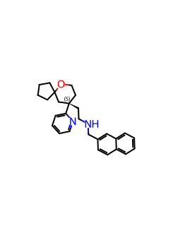 c1ccc([C@@]2(CCNCc3ccc4ccccc4c3)CCOC3(CCCC3)C2)nc1